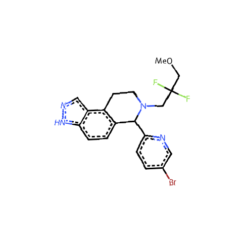 COCC(F)(F)CN1CCc2c(ccc3[nH]ncc23)C1c1ccc(Br)cn1